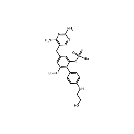 CCOc1cc(Cc2cnc(N)nc2N)cc(OS(=O)(=O)C(C)CC)c1-c1ccc(NCCO)cc1